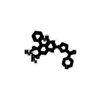 COc1cc2nc(N3CCC(C(=O)N4CCOCC4)C3)nc(N)c2c(-c2ccccc2)c1OC